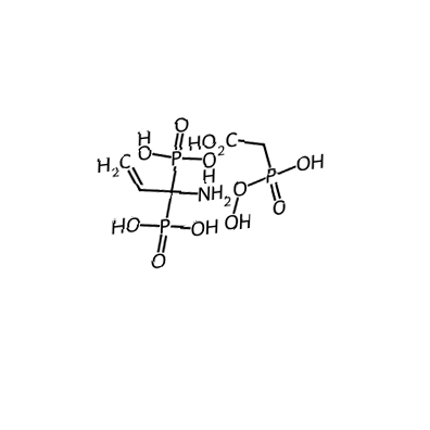 C=CC(N)(P(=O)(O)O)P(=O)(O)O.O=C(O)CP(=O)(O)OO